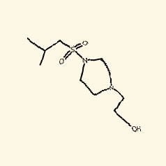 CC(C)CS(=O)(=O)N1CCN(CCO)CC1